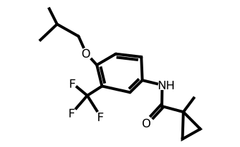 CC(C)COc1ccc(NC(=O)C2(C)CC2)cc1C(F)(F)F